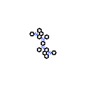 c1ccc(N(c2ccc(N(c3ccccc3)c3ccc4c5c3ccc3cccc(c35)n4-c3ccccc3)cc2)c2ccc3c4c2ccc2cccc(c24)n3-c2ccccc2)cc1